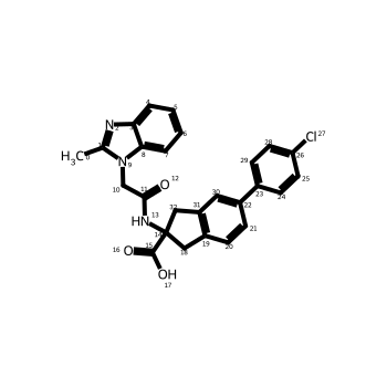 Cc1nc2ccccc2n1CC(=O)NC1(C(=O)O)Cc2ccc(-c3ccc(Cl)cc3)cc2C1